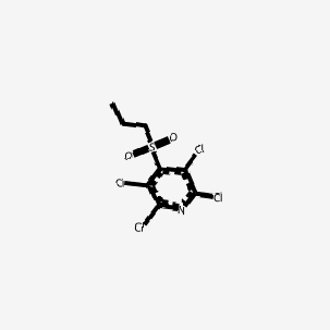 CCCS(=O)(=O)c1c(Cl)c(Cl)nc(Cl)c1Cl